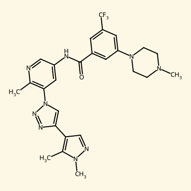 Cc1ncc(NC(=O)c2cc(N3CCN(C)CC3)cc(C(F)(F)F)c2)cc1-n1cc(-c2cnn(C)c2C)nn1